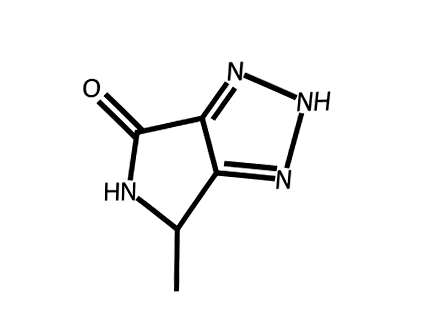 CC1NC(=O)c2n[nH]nc21